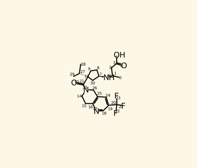 CC(CC(=O)O)N[C@@H]1CC[C@@](C(=O)N2CCc3ncc(C(F)(F)F)cc3C2)(C(C)C)C1